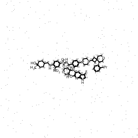 CC(C)c1ccccc1[C@@H]1COCCC12CC(N1CCN(c3ccc(C(=O)NS(=O)(=O)c4ccc(NCC5CCC(C)(O)CC5)c([N+](=O)[O-])c4)c(N4c5cc6c(F)c[nH]c6nc5O[C@H]5COCC[C@@H]54)c3)CC1)C2